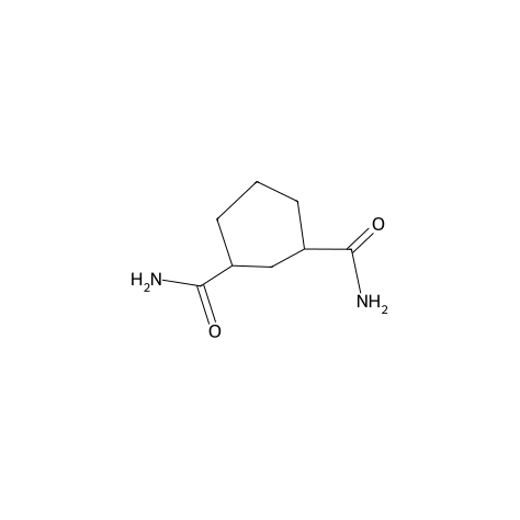 NC(=O)C1CCCC(C(N)=O)C1